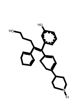 CCN1CCC(C2=CC=C(/C(=C(/CCCO)C3=CCCC=C3)c3cccc(O)c3)CC2)CC1